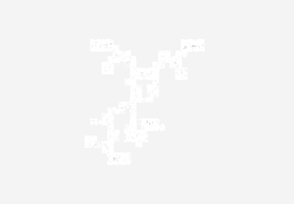 CCCC(C)C(=O)Oc1ccc(C(CC(C)OC(=O)OCC(C)C)[C@H](N)C(=O)O)cc1OC(=O)C(C)CCC